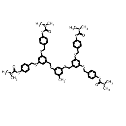 [CH2]c1cc(SCc2cc(SCc3ccc(SC(=O)N(C)C)cc3)cc(SCc3ccc(SC(=O)N(C)C)cc3)c2)cc(SCc2cc(SCc3ccc(SC(=O)N(C)C)cc3)cc(SCc3ccc(SC(=O)N(C)C)cc3)c2)c1